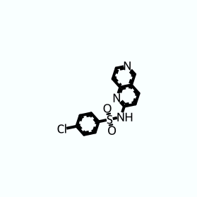 O=S(=O)(Nc1ccc2cnccc2n1)c1ccc(Cl)cc1